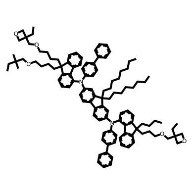 CCCCCCCCC1(CCCCCCCC)c2cc(N(c3ccc(-c4ccccc4)cc3)c3cccc4c3-c3ccccc3C4(CCCCOCC(C)(C)CC)CCCCOCC3(CC)COC3)ccc2-c2ccc(N(c3ccc(-c4ccccc4)cc3)c3cccc4c3-c3ccccc3C4(CCCC)CCCOCC3(CC)COC3)cc21